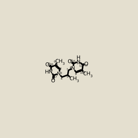 Cc1cn(CC(C)Cn2cc(C)c(=O)[nH]c2=O)c(=O)[nH]c1=O